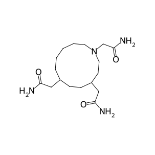 NC(=O)CC1CCCCCN(CC(N)=O)CCC(CC(N)=O)CC1